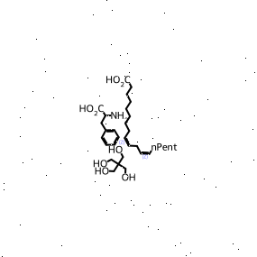 CCCCC/C=C\C/C=C\CCCCCCCC(=O)O.NC(Cc1ccccc1)C(=O)O.OCC(CO)(CO)CO